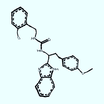 COc1ccc(CC(NC(=O)NCc2ccccc2Cl)c2nc3ccccc3[nH]2)cc1